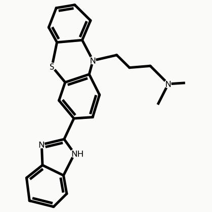 CN(C)CCCN1c2ccccc2Sc2cc(-c3nc4ccccc4[nH]3)ccc21